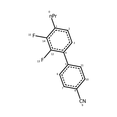 CCCc1ccc(-c2ccc(C#N)cc2)c(F)c1F